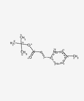 Cc1ccc(C=CC(=O)OC(C)(C)C)nc1